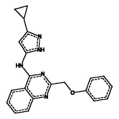 c1ccc(OCc2nc(Nc3cc(C4CC4)n[nH]3)c3ccccc3n2)cc1